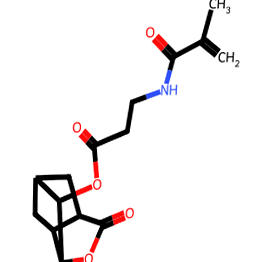 C=C(C)C(=O)NCCC(=O)OC1C2CC3C(=O)OC1C3C2